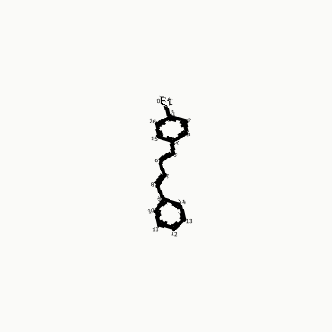 CCc1ccc(C=CC=Cc2ccccc2)cc1